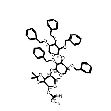 C[C@H]1O[C@@H](OC(=N)C(Cl)(Cl)Cl)C2OC(C)(C)OC2[C@H]1O[C@@H]1OC[C@@H](OCc2ccccc2)C(O[C@@H]2OC[C@@H](OCc3ccccc3)C(OCc3ccccc3)C2OCc2ccccc2)C1OCc1ccccc1